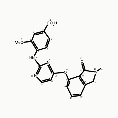 COc1cc(C(=O)O)ccc1Nc1nccc(Oc2cccc3c2C(=O)N(C)C3)n1